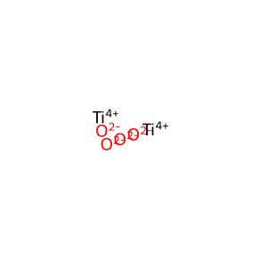 [O-2].[O-2].[O-2].[O-2].[Ti+4].[Ti+4]